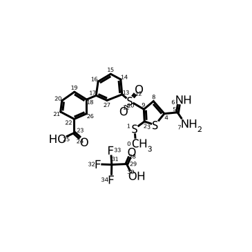 CSc1sc(C(=N)N)cc1S(=O)(=O)c1cccc(-c2cccc(C(=O)O)c2)c1.O=C(O)C(F)(F)F